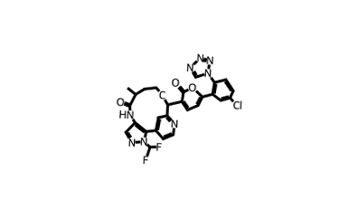 CC1CCCC(c2ccc(-c3cc(Cl)ccc3-n3cnnn3)oc2=O)c2cc(ccn2)-c2c(cnn2C(F)F)NC1=O